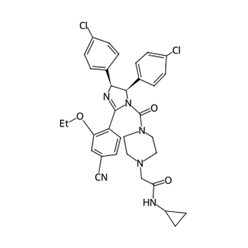 CCOc1cc(C#N)ccc1C1=N[C@@H](c2ccc(Cl)cc2)[C@@H](c2ccc(Cl)cc2)N1C(=O)N1CCN(CC(=O)NC2CC2)CC1